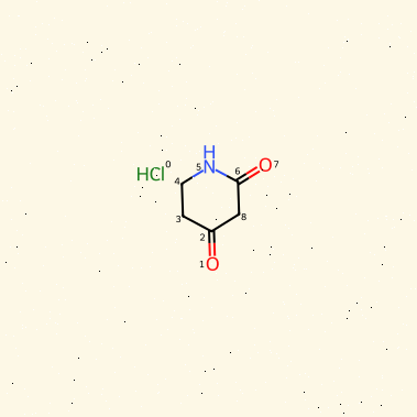 Cl.O=C1CCNC(=O)C1